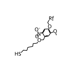 COc1cc(COCCCCCCS)c([N+](=O)[O-])cc1O[CH2][Rf]